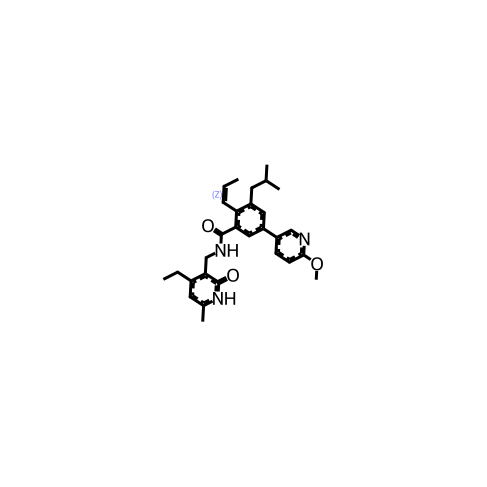 C/C=C\c1c(CC(C)C)cc(-c2ccc(OC)nc2)cc1C(=O)NCc1c(CC)cc(C)[nH]c1=O